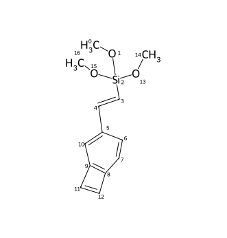 CO[Si](C=Cc1ccc2c(c1)C=C2)(OC)OC